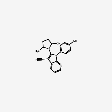 CC1CCC(C)N1c1c(C#N)c2cccnc2n1-c1ccc(O)cc1